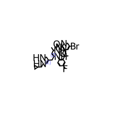 CC(=N)/C=C(/C/C(C=N)=C/NCC1CC1)Nc1ccc(F)cc1C(C)Oc1cc(Br)cnc1N=O